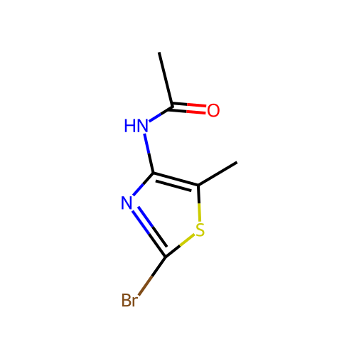 CC(=O)Nc1nc(Br)sc1C